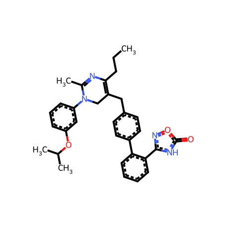 CCCC1=C(Cc2ccc(-c3ccccc3-c3noc(=O)[nH]3)cc2)CN(c2cccc(OC(C)C)c2)C(C)=N1